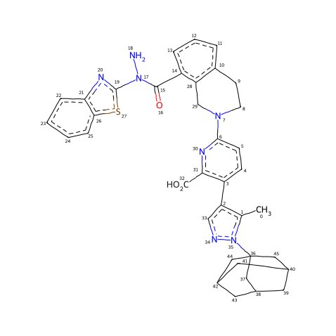 Cc1c(-c2ccc(N3CCc4cccc(C(=O)N(N)c5nc6ccccc6s5)c4C3)nc2C(=O)O)cnn1C12CC3CC(CC(C3)C1)C2